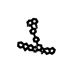 c1ccc2cc3cc4c(cc3cc2c1)nc1c2sc3cc5ccccc5cc3c2cc(-c2ccc(-c3ccc5c(c3)Sc3cccc6ccnc-5c36)cc2)n41